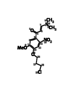 COc1cc(C(=O)C=CN(C)C)c([N+](=O)[O-])cc1OCCCCl